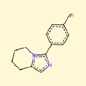 CC(C)c1ccc(-c2ncc3n2CCCC3)cc1